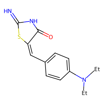 CCN(CC)c1ccc(C=C2SC(=N)NC2=O)cc1